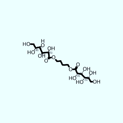 O=C(OCCCCOC(=O)[C@@H](O)[C@H](O)[C@@H](O)[C@H](O)CO)[C@@H](O)[C@H](O)[C@@H](O)[C@H](O)CO